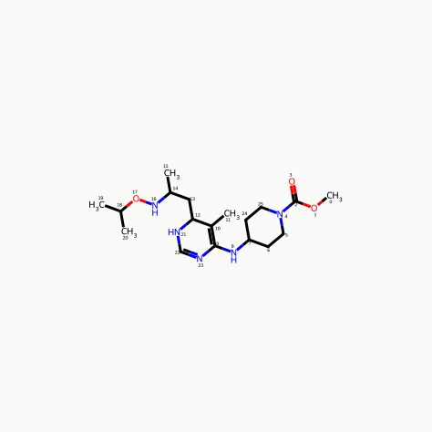 COC(=O)N1CCC(NC2=C(C)C(CC(C)NOC(C)C)NC=N2)CC1